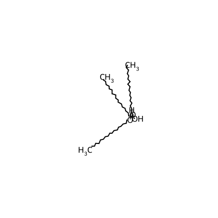 CCCCCCCCCCCCCCCCCCO[PH](O)(CCCCCCCCCCCCCCCCCC)OCCCCCCCCCCCCCCCCCC